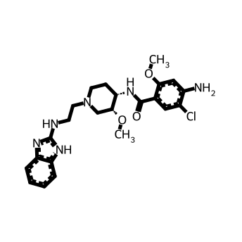 COc1cc(N)c(Cl)cc1C(=O)N[C@H]1CCN(CCNc2nc3ccccc3[nH]2)C[C@H]1OC